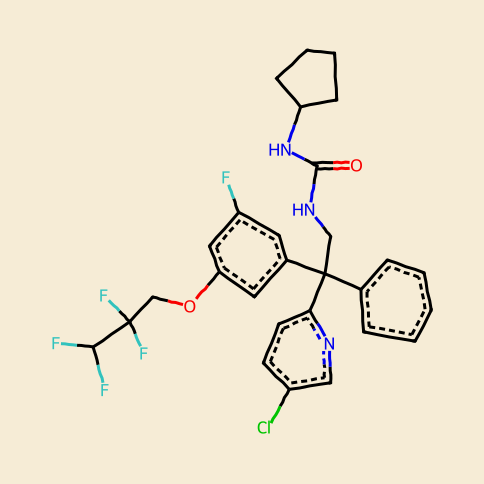 O=C(NCC(c1ccccc1)(c1cc(F)cc(OCC(F)(F)C(F)F)c1)c1ccc(Cl)cn1)NC1CCCC1